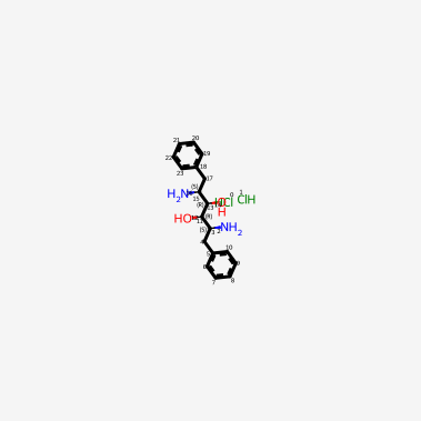 Cl.Cl.N[C@@H](Cc1ccccc1)[C@@H](O)[C@H](O)[C@@H](N)Cc1ccccc1